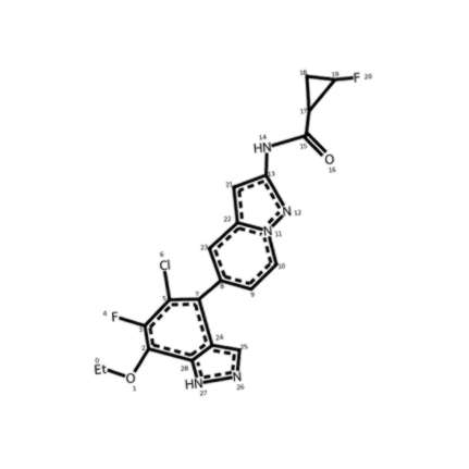 CCOc1c(F)c(Cl)c(-c2ccn3nc(NC(=O)C4CC4F)cc3c2)c2cn[nH]c12